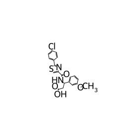 COc1cccc(C(CC(=O)O)NC(=O)c2csc(-c3ccc(Cl)cc3)n2)c1